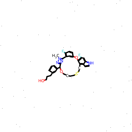 Cn1nc2nc1-c1cc(ccc1F)Oc1c(F)cc3[nH]ccc3c1CCSCCCCOC2c1cccc(CCCO)c1